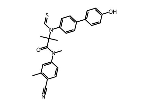 Cc1cc(N(C)C(=O)C(C)(C)N(C=S)c2ccc(-c3ccc(O)cc3)cc2)ccc1C#N